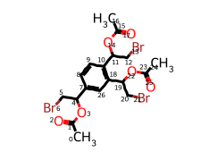 CC(=O)OC(CBr)c1ccc(C(CBr)OC(C)=O)c(C(CBr)OC(C)=O)c1